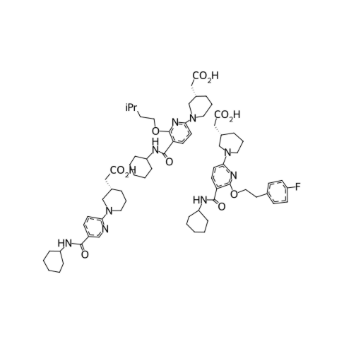 CC(C)CCOc1nc(N2CCC[C@@H](CC(=O)O)C2)ccc1C(=O)NC1CCCCC1.O=C(O)C[C@@H]1CCCN(c2ccc(C(=O)NC3CCCCC3)c(OCCc3ccc(F)cc3)n2)C1.O=C(O)C[C@@H]1CCCN(c2ccc(C(=O)NC3CCCCC3)cn2)C1